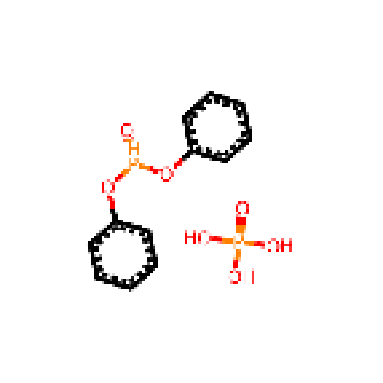 O=P(O)(O)O.O=[PH](Oc1ccccc1)Oc1ccccc1